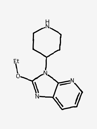 CCOc1nc2cccnc2n1C1CCNCC1